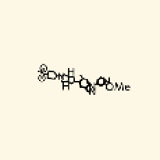 COc1cc(-n2ncc3cc(C4C[C@@H]5CN(C6CCC(S(C)(=O)=O)CC6)C[C@@H]5C4)c(C)cc32)ccn1